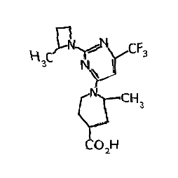 CC1CCN1c1nc(N2CCC(C(=O)O)C[C@@H]2C)cc(C(F)(F)F)n1